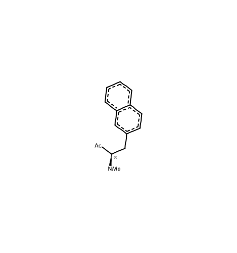 CN[C@H](Cc1ccc2ccccc2c1)C(C)=O